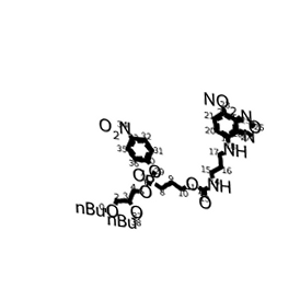 CCCCOCC(COP(=O)(CCCOC(=O)NCCCNc1ccc([N+](=O)[O-])c2nonc12)Oc1ccc([N+](=O)[O-])cc1)OCCCC